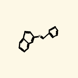 C(=Nc1ccc2ccccc2c1)c1ccccc1